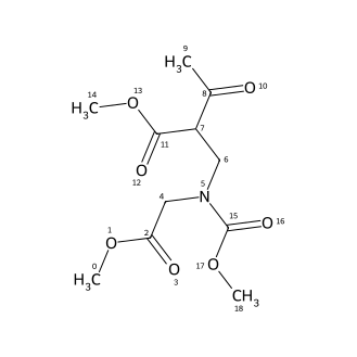 COC(=O)CN(CC(C(C)=O)C(=O)OC)C(=O)OC